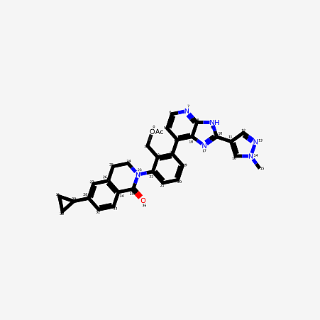 CC(=O)OCc1c(-c2ccnc3[nH]c(-c4cnn(C)c4)nc23)cccc1N1CCc2cc(C3CC3)ccc2C1=O